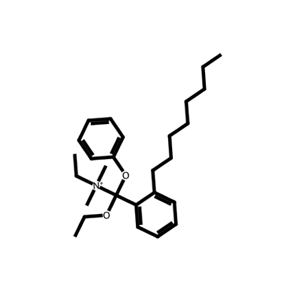 CCCCCCCCc1ccccc1C(OCC)(Oc1ccccc1)[N+](C)(C)CC